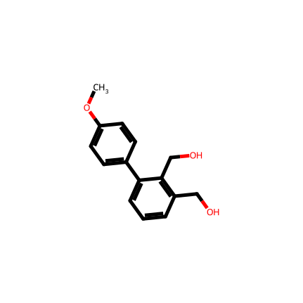 COc1ccc(-c2cccc(CO)c2CO)cc1